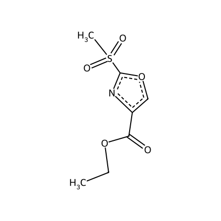 CCOC(=O)c1coc(S(C)(=O)=O)n1